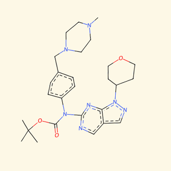 CN1CCN(Cc2ccc(N(C(=O)OC(C)(C)C)c3ncc4cnn(C5CCOCC5)c4n3)cc2)CC1